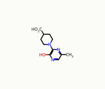 Cc1cnc(O)c(N2CCC(C(=O)O)CC2)n1